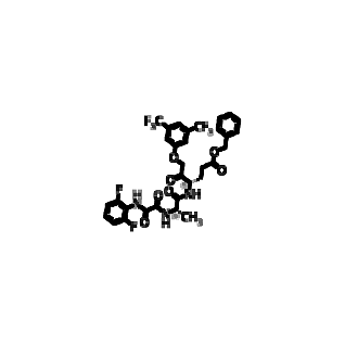 C[C@H](NC(=O)C(=O)Nc1c(F)cccc1F)C(=O)N[C@@H](CCC(=O)OCc1ccccc1)C(=O)COc1cc(C(F)(F)F)cc(C(F)(F)F)c1